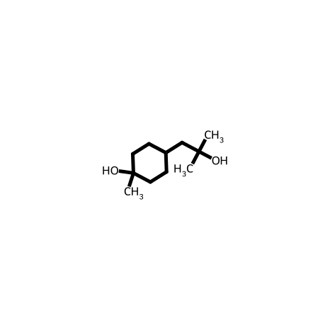 CC(C)(O)CC1CCC(C)(O)CC1